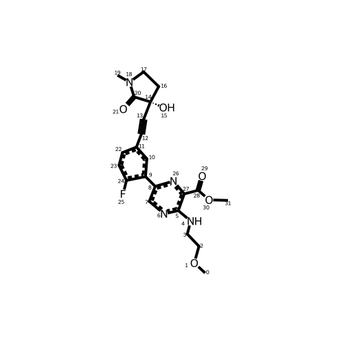 COCCNc1ncc(-c2cc(C#C[C@]3(O)CCN(C)C3=O)ccc2F)nc1C(=O)OC